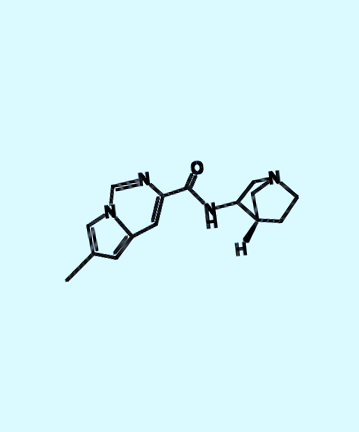 Cc1cc2cc(C(=O)NC3CN4CC[C@H]3C4)ncn2c1